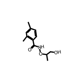 Cc1ccc(C(=O)NOC(C)CO)c(C)c1